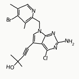 Cc1cnc(Cn2cc(C#CC(C)(C)O)c3c(Cl)nc(N)nc32)c(C)c1Br